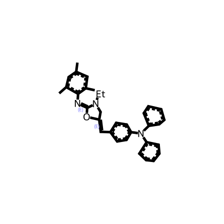 CCN1C/C(=C\c2ccc(N(c3ccccc3)c3ccccc3)cc2)O/C1=N/c1c(C)cc(C)cc1C